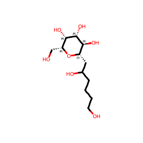 OCCCCC(O)C[C@@H]1O[C@H](CO)[C@H](O)[C@H](O)[C@H]1O